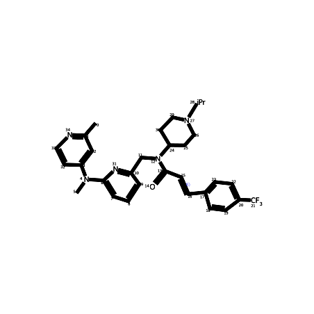 Cc1cc(N(C)c2cccc(CN(C(=O)/C=C/c3ccc(C(F)(F)F)cc3)C3CCN(C(C)C)CC3)n2)ccn1